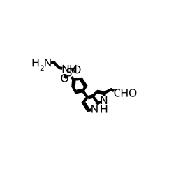 NCCNS(=O)(=O)c1ccc(-c2ccnc3[nH]c(CC=O)cc23)cc1